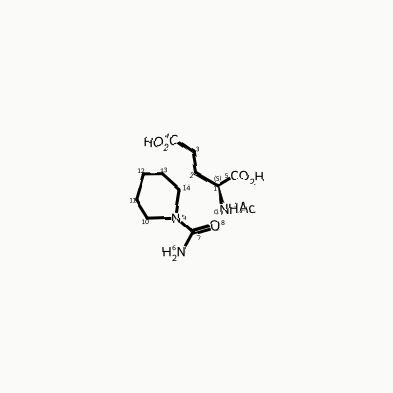 CC(=O)N[C@@H](CCC(=O)O)C(=O)O.NC(=O)N1CCCCC1